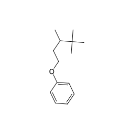 CC(CCOc1ccccc1)C(C)(C)C